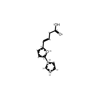 O=C(O)CC=Cc1ccc(-n2ccnc2)o1